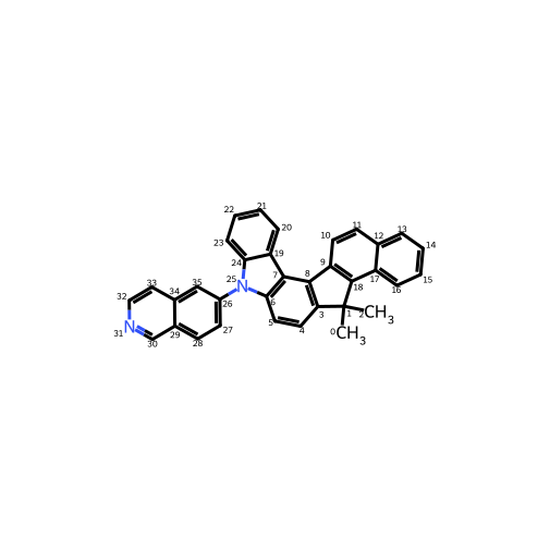 CC1(C)c2ccc3c(c2-c2ccc4ccccc4c21)c1ccccc1n3-c1ccc2cnccc2c1